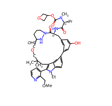 CCn1c(-c2cccnc2COC)c2c3cc(ccc31)-c1cc(O)cc(c1)C[C@H](NC(=O)[C@H](C(C)C)N(C)C(=O)OC1COC1)C(=O)N1CCCC(C=O)(COCC(C)(C)C2)N1